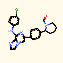 O=CN1CCCCC1c1ccc(-c2cn3ccnc3c(Nc3ccc(Cl)cc3)n2)cc1